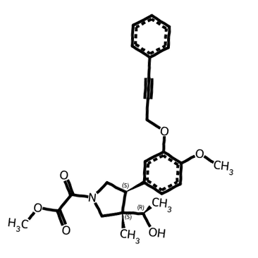 COC(=O)C(=O)N1C[C@@H](c2ccc(OC)c(OCC#Cc3ccccc3)c2)[C@](C)([C@@H](C)O)C1